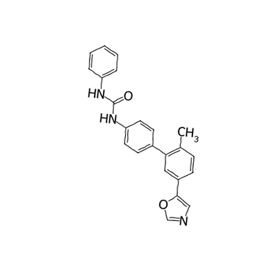 Cc1ccc(-c2cnco2)cc1-c1ccc(NC(=O)Nc2ccccc2)cc1